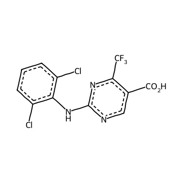 O=C(O)c1cnc(Nc2c(Cl)cccc2Cl)nc1C(F)(F)F